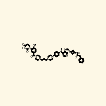 COc1ccc(C(=O)N2CCN(CCCN3CCN(c4ccc(Nc5ncnc6c5ncn6C5CC(NC(=O)Cc6ccccc6)C5)cc4)CC3)CC2)cc1N1CCC(=O)NC1=O